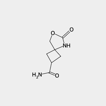 NC(=O)C1CC2(COC(=O)N2)C1